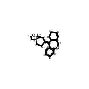 CCOC(=O)CN1CCC(=C2C3=C(C=CCC3)COc3ccccc32)CC1